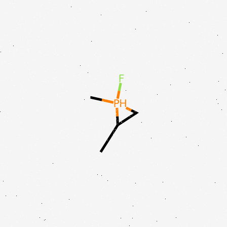 CC1C[PH]1(C)F